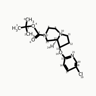 CC(C)(C)OC(=O)N1CCN2CC[C@@H](Oc3ccc(Cl)cn3)[C@H]2C1